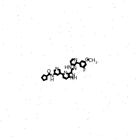 COc1cc(F)cc(-c2nccc3[nH]c(-c4n[nH]c5ccc(-c6cncc(NC(=O)C7CCCC7)c6)nc45)nc23)c1